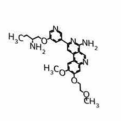 CC[C@H](N)COc1cncc(-c2cc3c(cnc4cc(OCCOC)c(OC)cc43)c(N)n2)c1